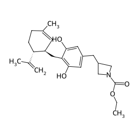 C=C(C)[C@@H]1CCC(C)=C[C@H]1Cc1c(O)cc(CC2CN(C(=O)OCC)C2)cc1O